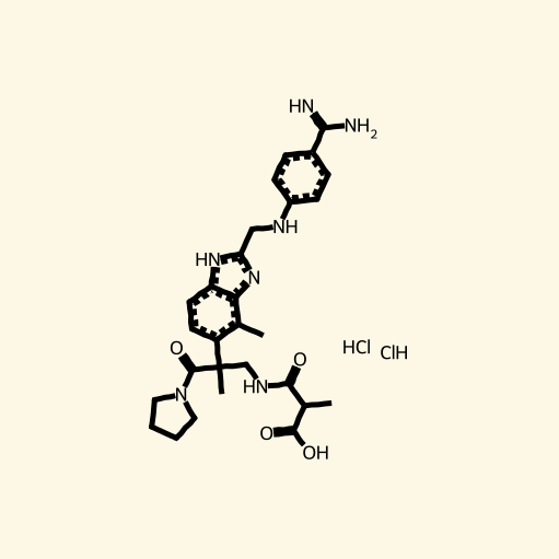 Cc1c(C(C)(CNC(=O)C(C)C(=O)O)C(=O)N2CCCC2)ccc2[nH]c(CNc3ccc(C(=N)N)cc3)nc12.Cl.Cl